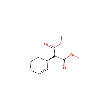 COC(=O)C(C(=O)OC)[C@H]1C=CCCC1